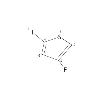 Fc1csc(I)c1